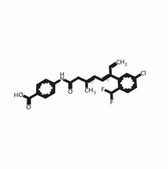 C=C/C(=C\C=C(/C)CC(=O)Nc1ccc(C(=O)O)cc1)c1cc(Cl)ccc1C(F)F